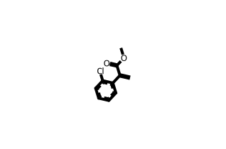 C=C(C(=O)OC)c1ccccc1Cl